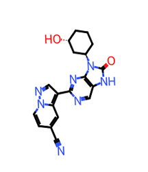 N#Cc1ccn2ncc(-c3ncc4[nH]c(=O)n([C@@H]5CCC[C@@H](O)C5)c4n3)c2c1